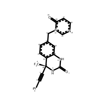 CC(C)C#C[C@@]1(C(F)(F)F)NC(=O)Nc2cc(Cn3cnccc3=O)ccc21